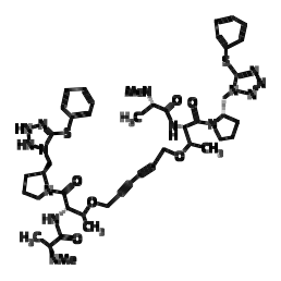 CN[C@@H](C)C(=O)N[C@H](C(=O)N1CCC[C@H]1CN1NNN=C1Sc1ccccc1)C(C)OCC#CC#CCOC(C)[C@H](NC(=O)[C@H](C)NC)C(=O)N1CCC[C@H]1Cn1nnnc1Sc1ccccc1